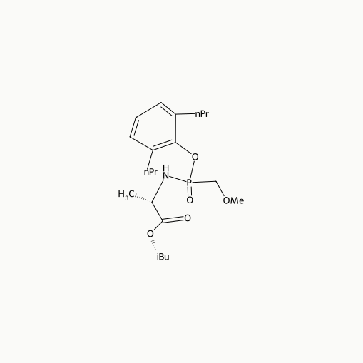 CCCc1cccc(CCC)c1OP(=O)(COC)N[C@@H](C)C(=O)O[C@@H](C)CC